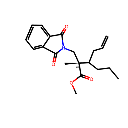 C=CCC(CCC)[C@@](C)(CN1C(=O)c2ccccc2C1=O)C(=O)OC